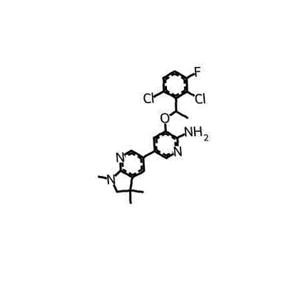 CC(Oc1cc(-c2cnc3c(c2)C(C)(C)CN3C)cnc1N)c1c(Cl)ccc(F)c1Cl